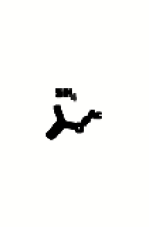 C=C(C)OC(C)=O.[SiH4]